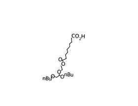 CCCCOCC(OCCCC)OCCOC(=O)CCCCCCCCC(=O)O